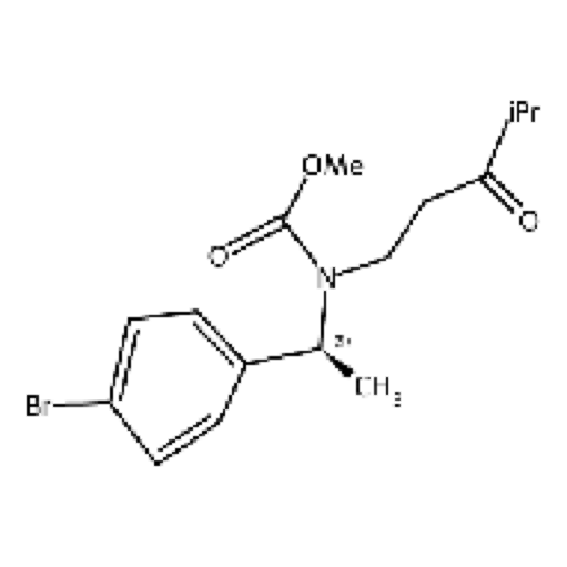 COC(=O)N(CCC(=O)C(C)C)[C@@H](C)c1ccc(Br)cc1